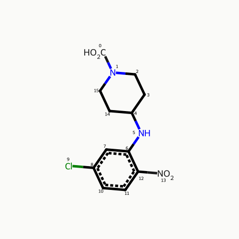 O=C(O)N1CCC(Nc2cc(Cl)ccc2[N+](=O)[O-])CC1